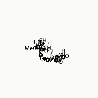 COc1ccc([C@]2(CCN(Cc3ccc(OC4CC5(CCN(CC(=O)N6CCn7c(=O)n(C8CCC(=O)NC8=O)c8cccc6c87)CC5)C4)cc3)CC(C)(C)C(F)(F)F)CCOC(C)(C)C2)cc1